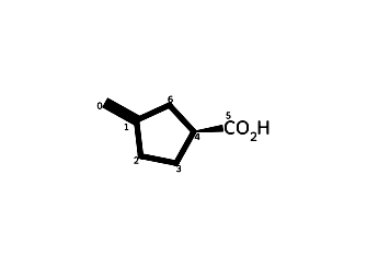 C=C1CC[C@H](C(=O)O)C1